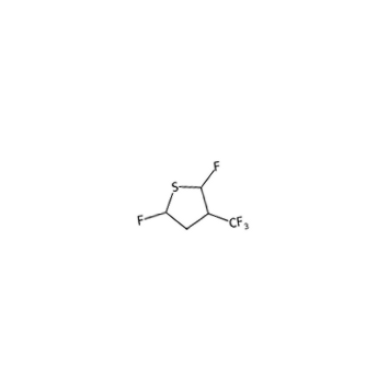 FC1CC(C(F)(F)F)C(F)S1